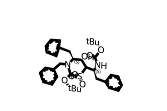 CC(C)(C)OC(=O)N[C@@H](Cc1ccccc1)C(C(O)[C@H](Cc1ccccc1)N(Cc1ccccc1)C(=O)OC(C)(C)C)[SH](=O)=O